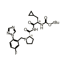 CC(C)(C)OC(=O)N[C@H](CC1CC1)C(=O)NC(=O)[C@@H]1CCCN1Cc1cc(F)ccc1-n1cncn1